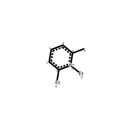 CCc1cccc(C)[n+]1CC